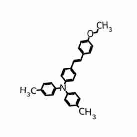 CCOc1ccc(C=Cc2ccc(N(c3ccc(C)cc3)c3ccc(C)cc3)cc2)cc1